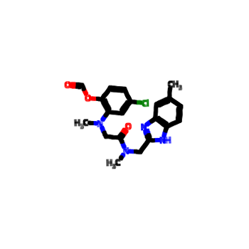 Cc1ccc2[nH]c(CN(C)C(=O)CN(C)c3cc(Cl)ccc3OC=O)nc2c1